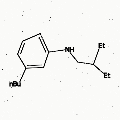 CCCCc1cccc(NCC(CC)CC)c1